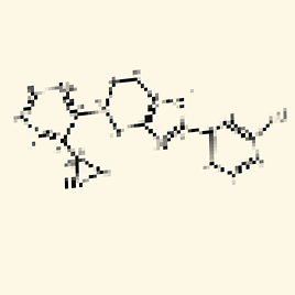 Clc1cccc(-c2nc3c(o2)CCC(c2nccnc2[C@H]2CN2)C3)c1